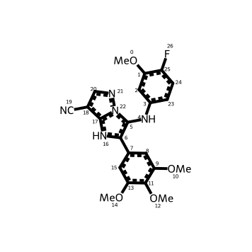 COc1cc(Nc2c(-c3cc(OC)c(OC)c(OC)c3)[nH]c3c(C#N)cnn23)ccc1F